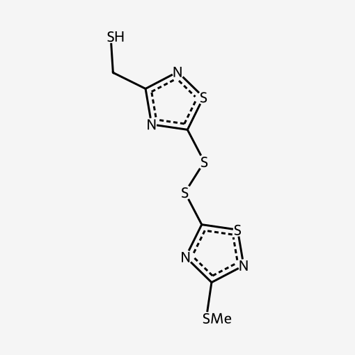 CSc1nsc(SSc2nc(CS)ns2)n1